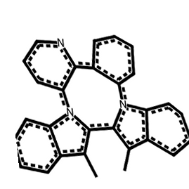 Cc1c2ccccc2n2c3ccccc3c3ncccc3n3c4ccccc4c(C)c3c12